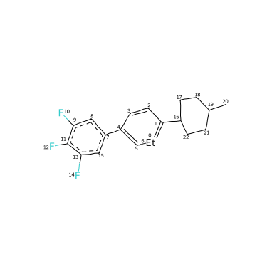 C=C(/C=C\C(=C/CC)c1cc(F)c(F)c(F)c1)C1CCC(C)CC1